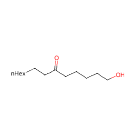 CCCCCCCCC(=O)CCCCCO